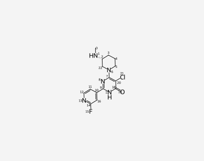 CN[C@@H]1CCCN(c2nc(-c3ccnc(F)c3)[nH]c(=O)c2Cl)C1